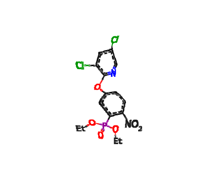 CCOP(=O)(OCC)c1cc(Oc2ncc(Cl)cc2Cl)ccc1[N+](=O)[O-]